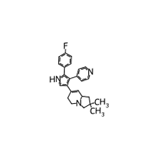 CC1(C)CC2C=C(c3c[nH]c(-c4ccc(F)cc4)c3-c3ccncc3)CCN2C1